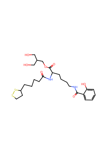 O=C(CCCCC1CCSS1)NC(CCCCNC(=O)c1ccccc1O)C(=O)OCC(CO)CO